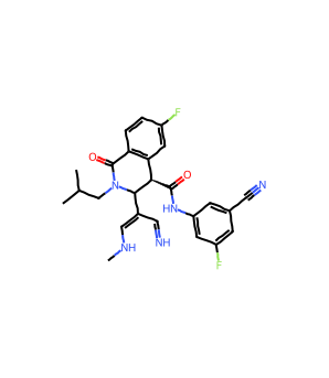 CN/C=C(\C=N)C1[C@H](C(=O)Nc2cc(F)cc(C#N)c2)c2cc(F)ccc2C(=O)N1CC(C)C